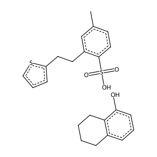 Cc1ccc(S(=O)(=O)O)c(CCc2cccs2)c1.Oc1cccc2c1CCCC2